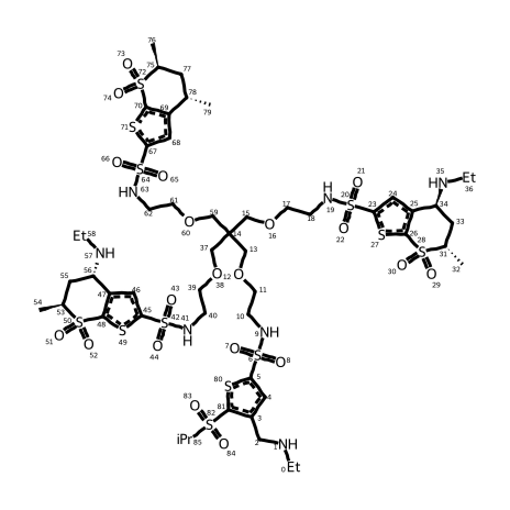 CCNCc1cc(S(=O)(=O)NCCOCC(COCCNS(=O)(=O)c2cc3c(s2)S(=O)(=O)[C@@H](C)C[C@@H]3NCC)(COCCNS(=O)(=O)c2cc3c(s2)S(=O)(=O)[C@@H](C)C[C@@H]3NCC)COCCNS(=O)(=O)c2cc3c(s2)S(=O)(=O)[C@@H](C)C[C@@H]3C)sc1S(=O)(=O)C(C)C